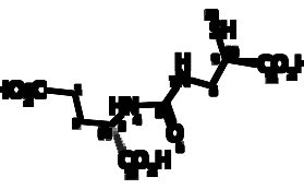 O=C(O)CC[C@H](NC(=O)NC[C@@H](S)C(=O)O)C(=O)O